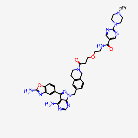 CCCN1CCN(c2ncc(C(=O)NCCOCCC(=O)N3CCc4cc(Cn5nc(-c6ccc7oc(N)nc7c6)c6c(N)ncnc65)ccc4C3)cn2)CC1